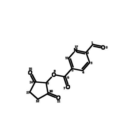 O=Cc1ccc(C(=O)OC2C(=O)CCC2=O)cn1